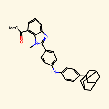 COC(=O)c1cccc2nc(-c3ccc(Nc4ccc(C56CC7CC(CC(C7)C5)C6)cc4)cc3)n(C)c12